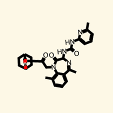 CC1=NC(NC(=O)Nc2cccc(C)n2)C(=O)N(CC(=O)N2CC3CCC(CC3)C2)c2c(C)cccc21